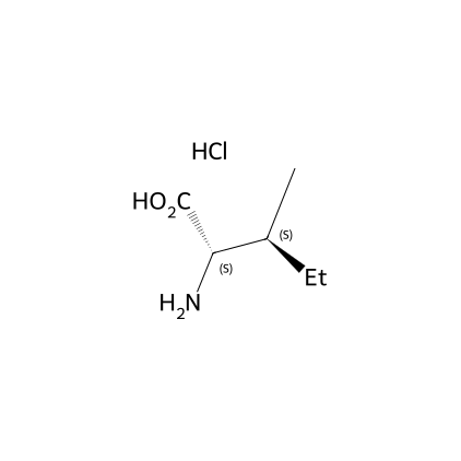 CC[C@H](C)[C@H](N)C(=O)O.Cl